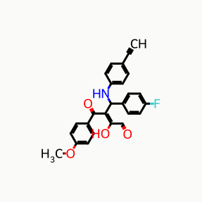 C#Cc1ccc(NC(/C(C(=O)c2ccc(OC)cc2)=C(/O)C=O)c2ccc(F)cc2)cc1